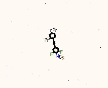 CCCc1ccc(C#Cc2cc(F)c(N=C=S)c(F)c2)c(C(C)C)c1